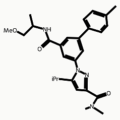 COCC(C)NC(=O)c1cc(-c2ccc(C)cc2)cc(-n2nc(C(=O)N(C)C)cc2C(C)C)c1